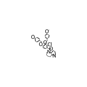 COc1ccc(COc2ccc(C(=O)N3CCCCc4ncccc43)c(Cl)c2OCc2ccc(OC)cc2)cc1